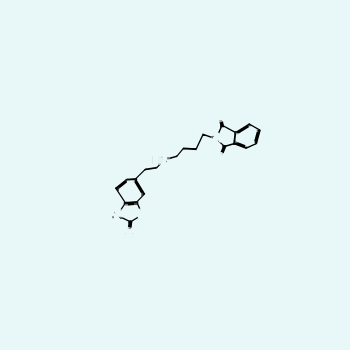 Cn1c(=O)sc2cc(CCNCCCCN3C(=O)c4ccccc4C3=O)ccc21